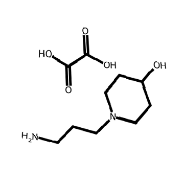 NCCCN1CCC(O)CC1.O=C(O)C(=O)O